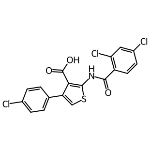 O=C(Nc1scc(-c2ccc(Cl)cc2)c1C(=O)O)c1ccc(Cl)cc1Cl